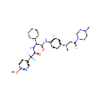 COc1ccc(C(F)(F)C(=O)N[C@H](C(=O)Nc2ccc([C@H](C)CC(=O)N3CCN(C)CC3)cc2F)C2CCCCC2)cn1